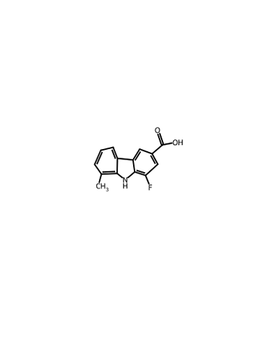 Cc1cccc2c1[nH]c1c(F)cc(C(=O)O)cc12